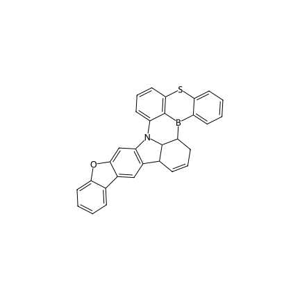 C1=CC2c3cc4c(cc3N3c5cccc6c5B(c5ccccc5S6)C(C1)C23)oc1ccccc14